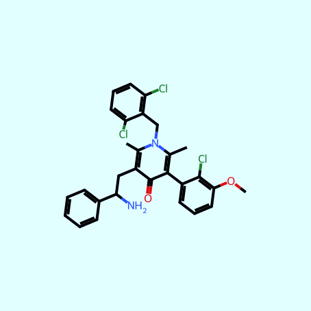 COc1cccc(-c2c(C)n(Cc3c(Cl)cccc3Cl)c(C)c(CC(N)c3ccccc3)c2=O)c1Cl